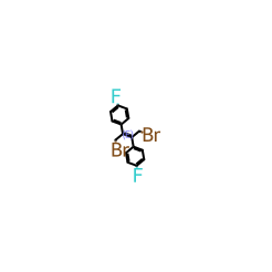 Fc1ccc(/C(CBr)=C(\CBr)c2ccc(F)cc2)cc1